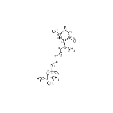 CC(C)(C)OC(=O)NCCOCC(N)c1nc(Cl)ncc1Cl